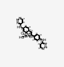 O=S(=O)(O)C1(S(=O)(=O)O)C=C(Nc2ccnnn2)C=CC1C=Cc1ccc(Nc2ccnnn2)cc1